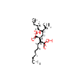 CCCCCCC(C(=O)O)=C(CC(CC)CCCC)C(=O)O